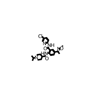 CON=C(C)c1ccc(NC(=O)C2CCN(C(C)C)CC2)c(C(=O)Nc2ccc(Cl)cn2)c1